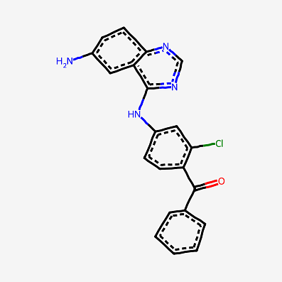 Nc1ccc2ncnc(Nc3ccc(C(=O)c4ccccc4)c(Cl)c3)c2c1